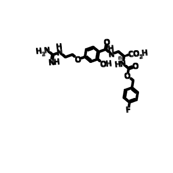 N=C(N)NCCOc1ccc(C(=O)NC[C@H](NC(=O)OCc2ccc(F)cc2)C(=O)O)c(O)c1